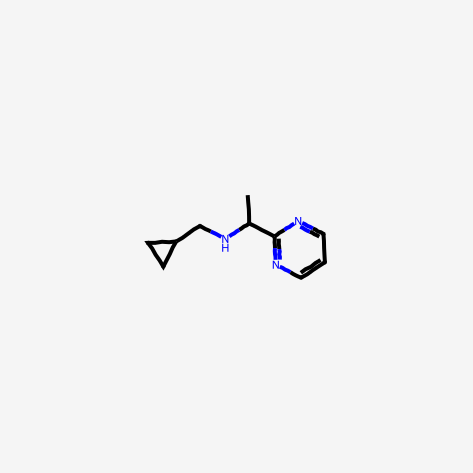 CC(NCC1CC1)c1ncccn1